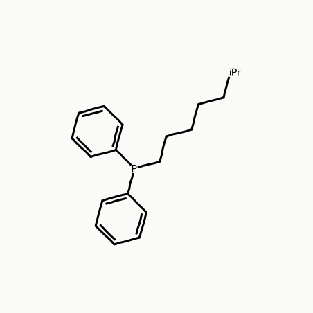 CC(C)CCCCCP(c1ccccc1)c1ccccc1